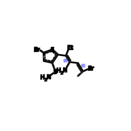 CC/C(=C(N)\C=C(/C)Br)c1sc(Br)cc1SN